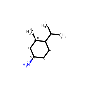 CC(C)C1CC[C@@H](N)C[C@H]1C